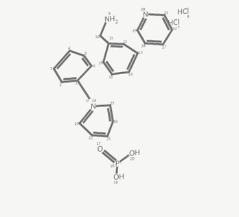 Cc1ccccc1.Cl.Cl.NCc1ccccc1.O=[P](O)O.c1ccncc1.c1ccncc1